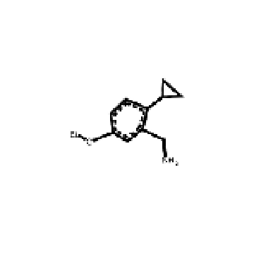 CCOc1ccc(C2CC2)c(CN)c1